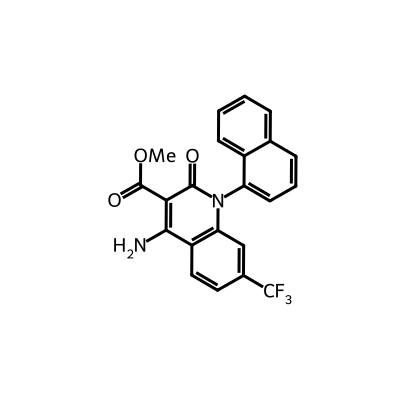 COC(=O)c1c(N)c2ccc(C(F)(F)F)cc2n(-c2cccc3ccccc23)c1=O